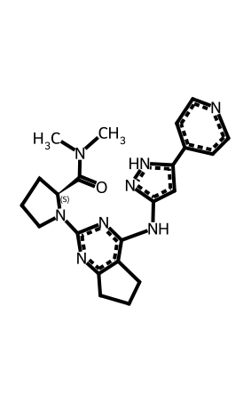 CN(C)C(=O)[C@@H]1CCCN1c1nc2c(c(Nc3cc(-c4ccncc4)[nH]n3)n1)CCC2